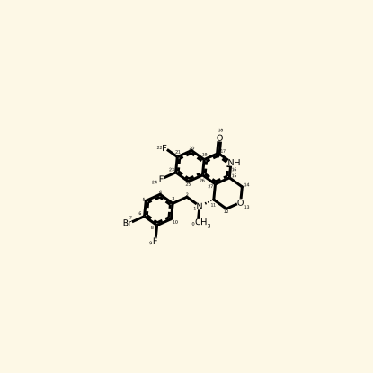 CN(Cc1ccc(Br)c(F)c1)[C@H]1COCc2[nH]c(=O)c3cc(F)c(F)cc3c21